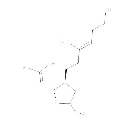 CCCC/C(C)=C/[C@H]1OC(OC)C[C@@H]1CC/C(C)=C/CCO